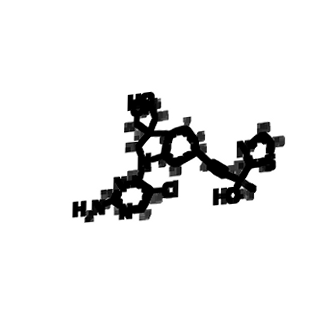 C[C@@](O)(C#Cc1ccc2c(c1)N(c1nc(N)ncc1Cl)CC2(CO)CO)c1nccs1